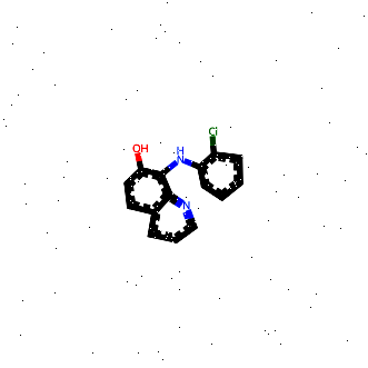 Oc1ccc2cccnc2c1Nc1ccccc1Cl